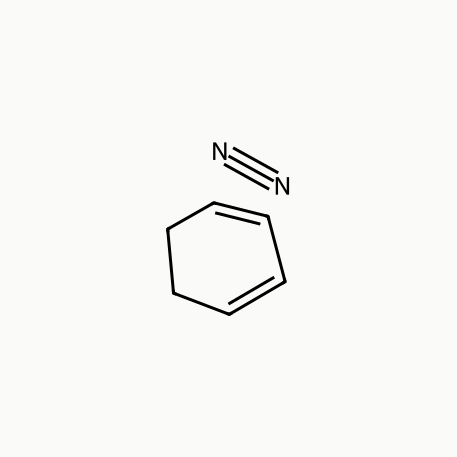 C1=CCCC=C1.N#N